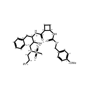 COc1ccc(COC(=O)NC2CCC2C(=O)NC(Cc2ccccc2)C(O)CN(CCC(C)C)S(C)(=O)=O)cc1